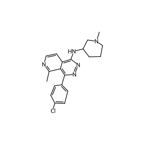 Cc1nccc2c(NC3CCCN(C)C3)nnc(-c3ccc(Cl)cc3)c12